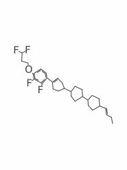 CC/C=C/C1CCC(C2CCC(C3CC=C(c4ccc(OCCC(F)F)c(F)c4F)CC3)CC2)CC1